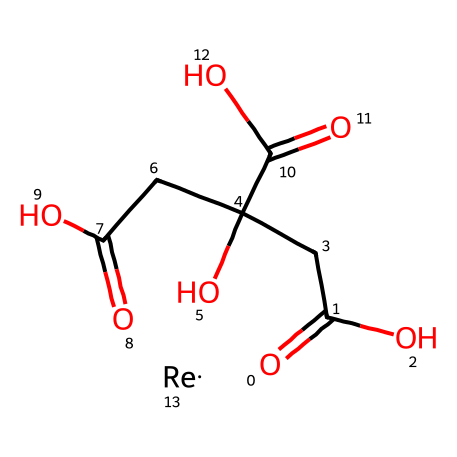 O=C(O)CC(O)(CC(=O)O)C(=O)O.[Re]